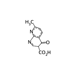 Cc1ccc2c(n1)N=CC(C(=O)O)C2=O